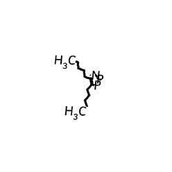 CCCCCC1=C(CCCCC)P=P[N]1